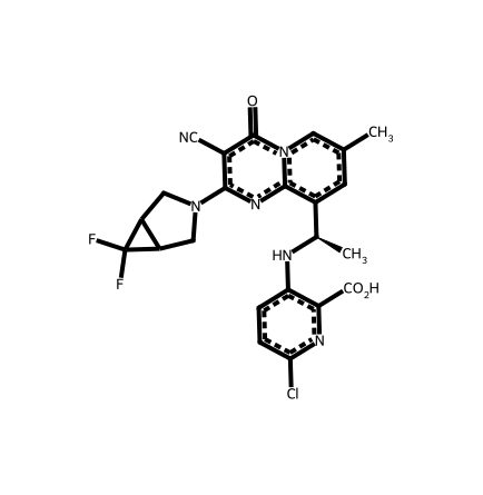 Cc1cc([C@@H](C)Nc2ccc(Cl)nc2C(=O)O)c2nc(N3CC4C(C3)C4(F)F)c(C#N)c(=O)n2c1